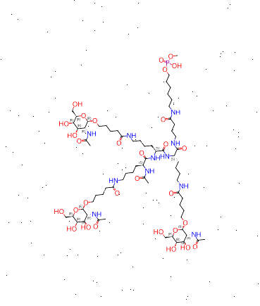 COP(=O)(O)OCCCCCCNC(=O)CCCNC(=O)[C@H](CCCCNC(=O)CCCCO[C@@H]1O[C@H](CO)[C@H](O)[C@H](O)[C@H]1NC(C)=O)NC(=O)[C@H](CCCCNC(=O)CCCCO[C@@H]1O[C@H](CO)[C@H](O)[C@H](O)[C@H]1NC(C)=O)NC(=O)[C@H](CCCCNC(=O)CCCCO[C@@H]1O[C@H](CO)[C@H](O)[C@H](O)[C@H]1NC(C)=O)NC(C)=O